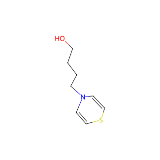 OCCCCN1C=CSC=C1